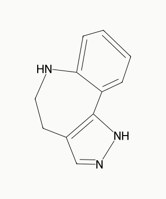 c1ccc2c(c1)NCCc1cn[nH]c1-2